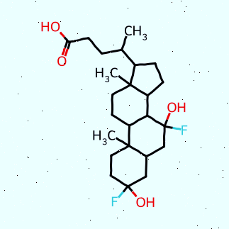 CC(CCC(=O)O)C1CCC2C3C(CCC12C)C1(C)CCC(O)(F)CC1CC3(O)F